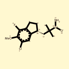 COc1c(Cl)cc2c(c1F)CC[C@@H]2CC(C)(C)[S+](N)[O-]